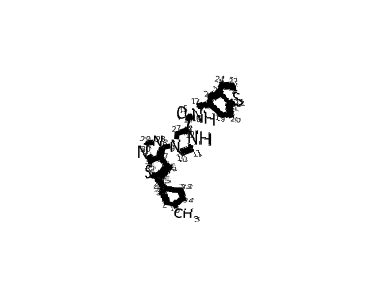 Cc1ccc(-c2cc3c(N4CCN[C@H](C(=O)NCc5ccc6sccc6c5)C4)ncnc3s2)cc1